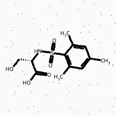 Cc1cc(C)c(S(=O)(=O)N[C@@H](CO)C(=O)O)c(C)c1